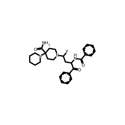 NC(=O)C1(N2CCCCC2)CCN(C(F)CC(NC(=O)c2ccccc2)C(=O)c2ccccc2)CC1